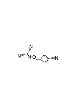 N#CC(C#N)=NOCc1ccc(C#N)cc1